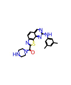 Cc1cc(C)cc(Nc2ncc3ccc4nc(C(=O)N5CCNCC5)sc4c3n2)c1